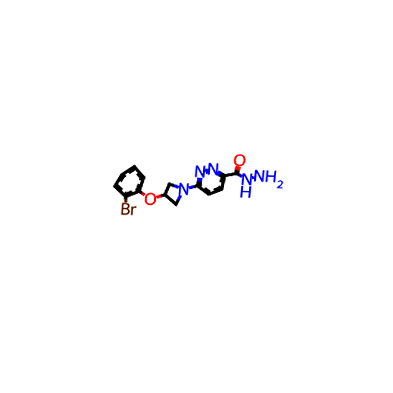 NNC(=O)c1ccc(N2CC(Oc3ccccc3Br)C2)nn1